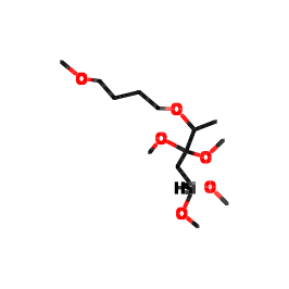 COCCCCOC(C)C(C[SiH](OC)OC)(OC)OC